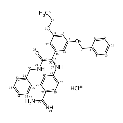 CCOc1cc(OCc2ccccc2)cc([C@@H](Nc2ccc(C(=N)N)cc2)C(=O)NCc2ccccc2)c1.Cl